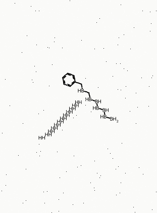 BBBBBBCBCc1ccccc1.[HH].[HH].[HH].[HH].[HH].[HH].[HH].[HH].[HH].[HH].[HH].[HH]